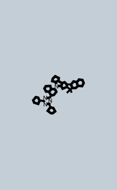 CC1(C)c2cc3ccccc3cc2-c2cc3c4ccccc4n(-c4ccc(-c5nc(-c6ccccc6)nc(-c6ccccc6)n5)c5ccccc45)c3cc21